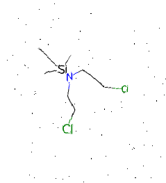 C[Si](C)(C)N(CCCl)CCCl